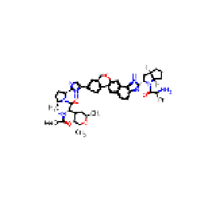 COC(=O)N[C@H](C(=O)N1[C@@H](C)CC[C@H]1c1ncc(-c2ccc3c(c2)COc2cc4c(ccc5nc([C@@H]6C[C@@H]7CCC[C@@H]7N6C(=O)[C@@H](N)C(C)C)[nH]c54)cc2-3)[nH]1)C1C[C@@H](C)O[C@H](C)C1